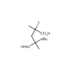 CCCCCCC(C)(CCCC)CC(C)(F)C(=O)O